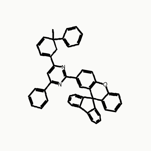 CC1(c2ccccc2)C=CC=C(c2cc(-c3ccccc3)nc(-c3ccc4c(c3)C3(c5ccccc5O4)c4ccccc4-c4ccccc43)n2)C1